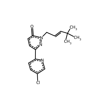 CC(C)(C)/C=C/Cn1nc(-c2ccc(Cl)cn2)ccc1=O